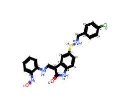 O=Nc1ccccc1N/C=C1\C(=O)Nc2ccc(SNCc3ccc(Cl)cc3)cc21